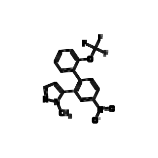 Cn1nccc1-c1cc([N+](=O)[O-])ccc1-c1ccccc1OC(F)(F)F